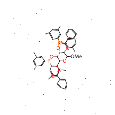 COC1OC(COC(=O)c2ccccc2)C(OP(c2cc(C)cc(C)c2)c2cc(C)cc(C)c2)[C@H](OP(c2cc(C)cc(C)c2)c2cc(C)cc(C)c2)C1OC(=O)c1ccccc1